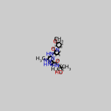 CNc1cc(Nc2cccn(C3CCC[C@@H](OC)C3)c2=O)nc2c(C(=O)NCC(C)(C)CO)cnn12